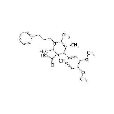 COc1ccc(C2C(C)=C(C)N(CCCc3ccccc3)C(C)C2(C)C(=O)O)cc1OC